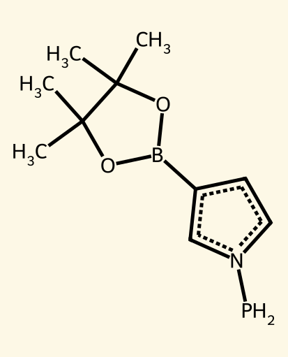 CC1(C)OB(c2ccn(P)c2)OC1(C)C